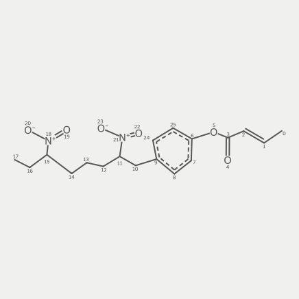 CC=CC(=O)Oc1ccc(CC(CCCC(CC)[N+](=O)[O-])[N+](=O)[O-])cc1